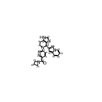 O=C(c1ccc(N2CCc3[nH]cnc3[C@H]2c2cc3ccccn3n2)nn1)N1CCC1